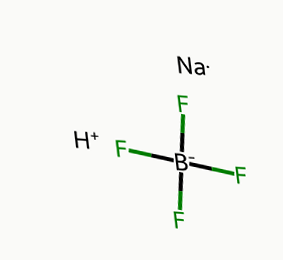 F[B-](F)(F)F.[H+].[Na]